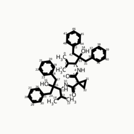 CC(C)[C@@H](NC(=O)C1(C(=O)N[C@H](C(C)C)C(O)(Cc2ccccc2)Cc2ccccc2)CC1)C(O)(Cc1ccccc1)Cc1ccccc1